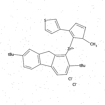 CC1C=CC(c2ccsc2)=[C]1[Zr+2][c]1c(C(C)(C)C)ccc2c1Cc1cc(C(C)(C)C)ccc1-2.[Cl-].[Cl-]